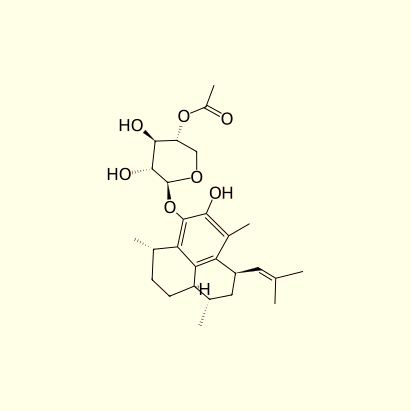 CC(=O)O[C@@H]1CO[C@@H](Oc2c(O)c(C)c3c4c2[C@@H](C)CC[C@@H]4[C@@H](C)C[C@@H]3C=C(C)C)[C@H](O)[C@H]1O